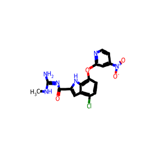 CNC(N)=NC(=O)c1cc2c(Cl)ccc(Oc3cc([N+](=O)[O-])ccn3)c2[nH]1